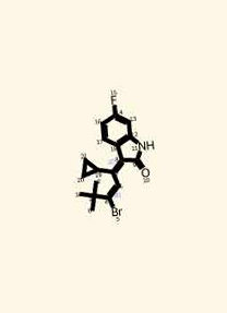 CC(C)(C)/C(Br)=C\C(=C1/C(=O)Nc2cc(F)ccc21)C1CC1